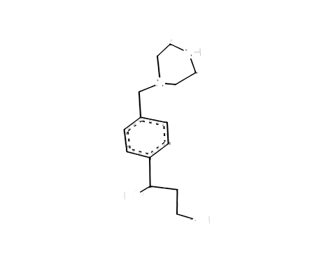 CCCC(C)c1ccc(CN2CCNCC2)cc1